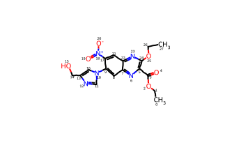 CCOC(=O)c1nc2cc(-n3cnc(CO)c3)c([N+](=O)[O-])cc2nc1OCC